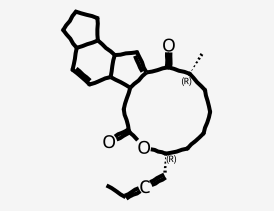 CC=C=C[C@H]1CCCC[C@@H](C)C(=O)C2=CC3C(C=CC4CCCC43)C2CC(=O)O1